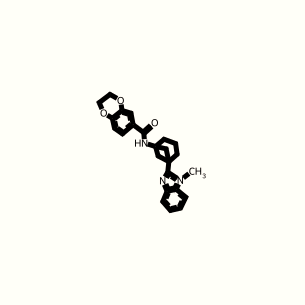 Cn1c(C23CCCC(NC(=O)c4ccc5c(c4)OCCO5)(C2)C3)nc2ccccc21